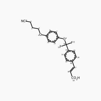 N#CCCCOc1ccc(OC(F)(F)c2ccc(C=CC(=O)O)cc2)cc1